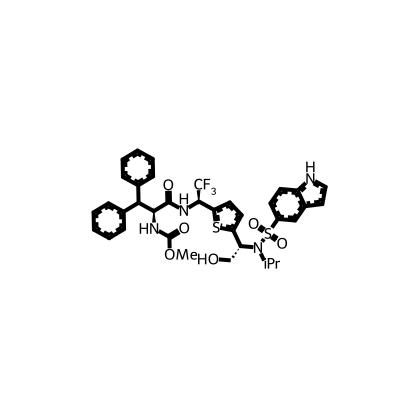 COC(=O)N[C@H](C(=O)N[C@H](c1ccc([C@@H](CO)N(C(C)C)S(=O)(=O)c2ccc3[nH]ccc3c2)s1)C(F)(F)F)C(c1ccccc1)c1ccccc1